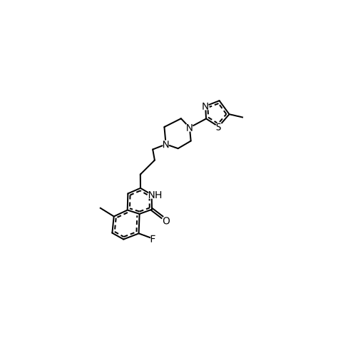 Cc1cnc(N2CCN(CCCc3cc4c(C)ccc(F)c4c(=O)[nH]3)CC2)s1